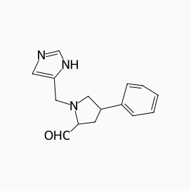 O=CC1CC(c2ccccc2)CN1Cc1cnc[nH]1